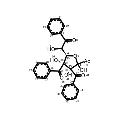 CC(=O)C1(O)O[C@H](C(O)C(=O)c2ccccc2)[C@](O)(C(=O)c2ccccc2)[C@]1(O)C(=O)c1ccccc1